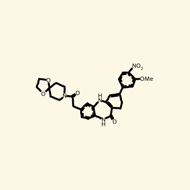 COc1cc(C2=CC3=C(CC2)C(=O)Nc2ccc(CC(=O)N4CCC5(CC4)OCCO5)cc2N3)ccc1[N+](=O)[O-]